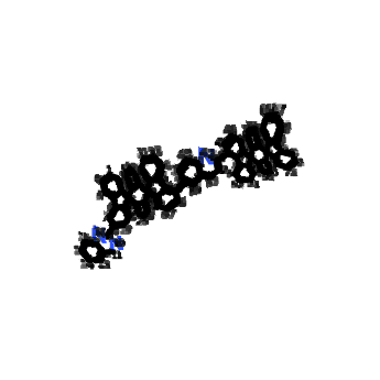 c1ccc2c(c1)-c1cc(-c3ncc4ccccc4n3)ccc1C21c2ccccc2C2(c3ccccc3-c3c(-c4ccc5nc(-c6cccc7c6-c6ccccc6C76c7ccccc7C7(c8ccccc8-c8ccccc87)c7ccccc76)ccc5c4)cccc32)c2ccccc21